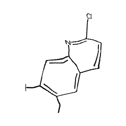 Cc1cc2ccc(Cl)nc2cc1I